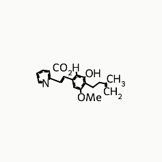 C=C(C)CCc1c(OC)cc(/C=C/c2ccccn2)c(C(=O)O)c1O